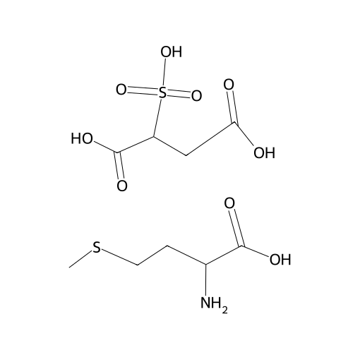 CSCCC(N)C(=O)O.O=C(O)CC(C(=O)O)S(=O)(=O)O